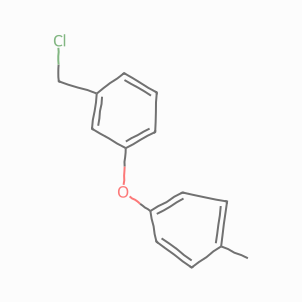 Cc1ccc(Oc2cccc(CCl)c2)cc1